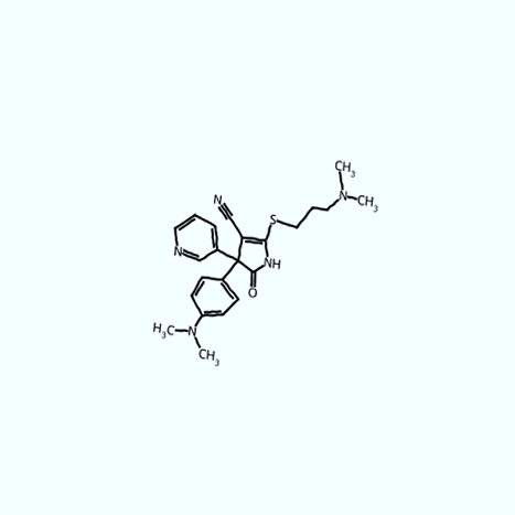 CN(C)CCCSC1=C(C#N)C(c2ccc(N(C)C)cc2)(c2cccnc2)C(=O)N1